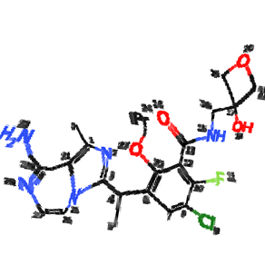 Cc1nc(C(C)c2cc(Cl)c(F)c(C(=O)NCC3(O)COC3)c2OC(C)C)n2ccnc(N)c12